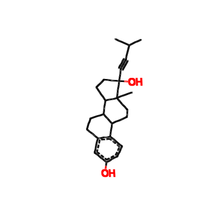 CC(C)C#CC1(O)CCC2C3CCc4cc(O)ccc4C3CCC21C